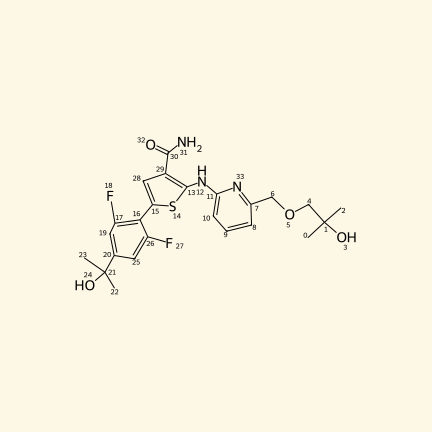 CC(C)(O)COCc1cccc(Nc2sc(-c3c(F)cc(C(C)(C)O)cc3F)cc2C(N)=O)n1